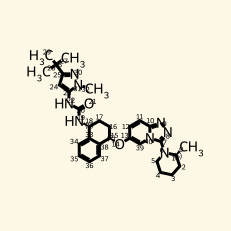 C[C@H]1CCCCN1c1nnc2ccc(O[C@@H]3CC[C@H](NC(=O)Nc4cc(C(C)(C)C)nn4C)c4ccccc43)cn12